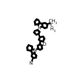 CC(C)c1ccc2c(c1)c1ccccc1n2-c1cccc(-c2ccc3oc4ccc(-n5c6ccccc6c6cc(C#N)ccc65)cc4c3c2)c1